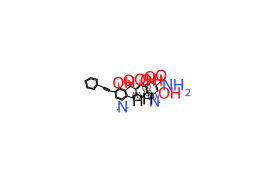 CN(C)c1cc(C#Cc2ccccc2)c(O)c2c1C[C@H]1C[C@H]3[C@H](N(C)C)C(O)=C(C(N)=O)C(=O)[C@@]3(O)C(O)=C1C2=O